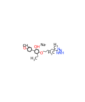 CCc1cc(-c2ccc(OC)cc2)c(O)cc1OCCCCCC(C)(C)c1nn[nH]n1.[Na]